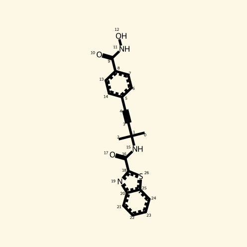 CC(C)(C#Cc1ccc(C(=O)NO)cc1)NC(=O)c1nc2ccccc2s1